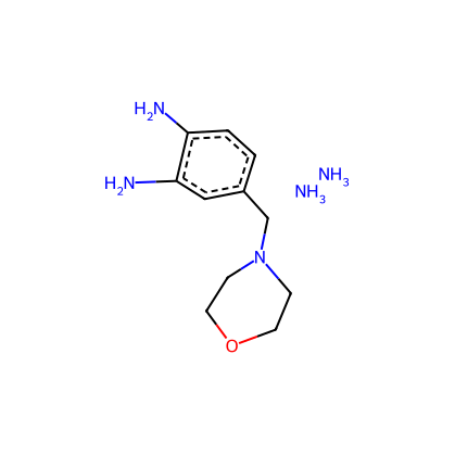 N.N.Nc1ccc(CN2CCOCC2)cc1N